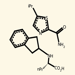 CC(C)c1cnc(C(N)=O)s1.CCC[C@H](NC1Cc2ccccc2C1)C(=O)O